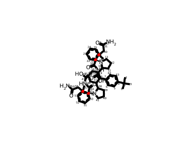 CC(C)(C)c1ccc(C2C(C3CCCN3[C@@]3(C(=O)NC(=O)O)c4ccc(cc4)C3(C)CC(N)=O)CCCC2C2CCCN2[C@@]2(C(=O)NC(=O)O)c3ccc(cc3)C2(C)CC(N)=O)cc1